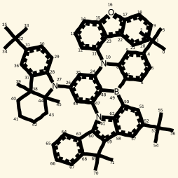 CC(C)(C)c1ccc2c(c1)N(c1cccc3oc4ccccc4c13)c1cc(N3c4ccc(C(C)(C)C)cc4C4(C)CCCCC34C)cc3c1B2c1cc(C(C)(C)C)cc2c4c(n-3c12)-c1ccccc1C4(C)C